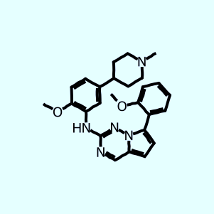 COc1ccc(C2CCN(C)CC2)cc1Nc1ncc2ccc(-c3ccccc3OC)n2n1